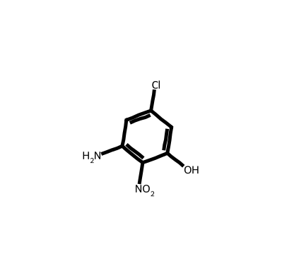 Nc1cc(Cl)cc(O)c1[N+](=O)[O-]